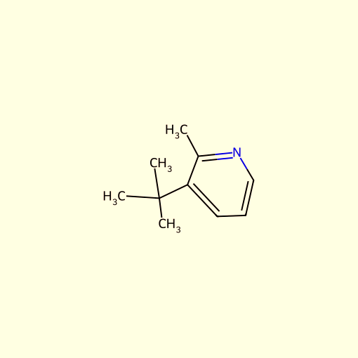 Cc1ncccc1C(C)(C)C